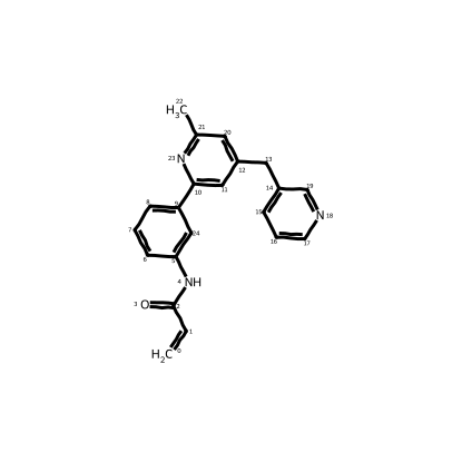 C=CC(=O)Nc1cccc(-c2cc(Cc3cccnc3)cc(C)n2)c1